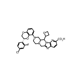 O=C(O)c1ccc2nc3n(c2n1)C(C1CCO1)C1CN(c2cccc4c2O[C@H](c2ccc(Cl)cc2F)CO4)CCN1C3